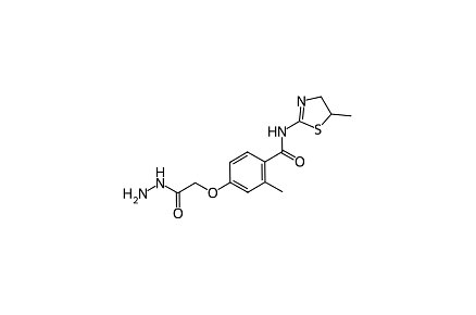 Cc1cc(OCC(=O)NN)ccc1C(=O)NC1=NCC(C)S1